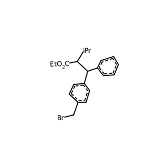 CCOC(=O)C(C(C)C)C(c1ccccc1)c1ccc(CBr)cc1